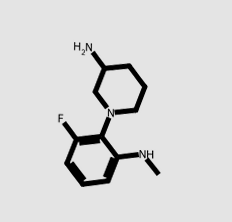 CNc1cccc(F)c1N1CCCC(N)C1